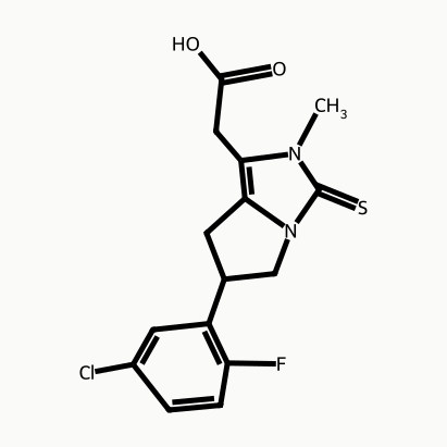 Cn1c(CC(=O)O)c2n(c1=S)CC(c1cc(Cl)ccc1F)C2